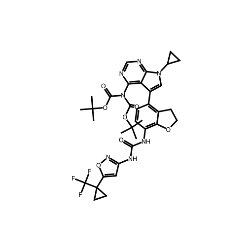 CC(C)(C)OC(=O)N(C(=O)OC(C)(C)C)c1ncnc2c1c(-c1ccc(NC(=O)Nc3cc(C4(C(F)(F)F)CC4)on3)c3c1CCO3)cn2C1CC1